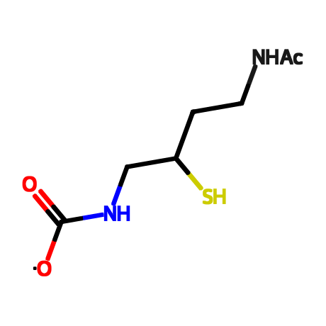 CC(=O)NCCC(S)CNC([O])=O